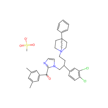 CS(=O)(=O)[O-].Cc1cc(C)cc(C(=O)c2nccn2CC(CC[N+]23CCC(c4ccccc4)(CC2)CC3)c2ccc(Cl)c(Cl)c2)c1